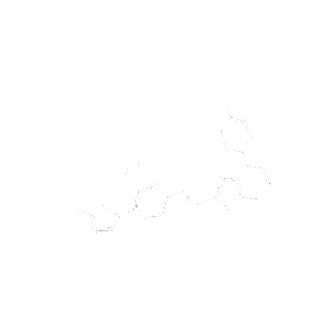 COc1cc(C=Cc2nc3n(n2)CC=CC3c2ccc(F)cc2)ccc1-n1cnc(C)c1